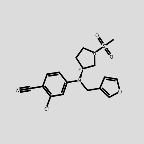 CS(=O)(=O)N1CC[C@H](N(Cc2ccoc2)c2ccc(C#N)c(Cl)c2)C1